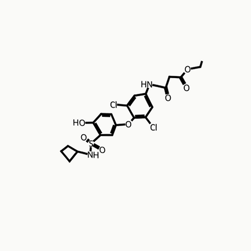 CCOC(=O)CC(=O)Nc1cc(Cl)c(Oc2ccc(O)c(S(=O)(=O)NC3CCC3)c2)c(Cl)c1